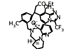 CCOC(=O)CC(c1ccc(C)c(CN2C[C@@H]3CCCCN3c3ncccc3[S+]2[O-])c1)c1ccn2c(C(F)(F)F)nnc2c1C